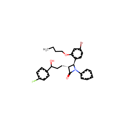 CCCCOc1cc(Br)ccc1[C@@H]1[C@@H](CCC(O)c2ccc(F)cc2)C(=O)N1c1ccccc1